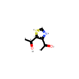 CC(=O)c1n[c]sc1C(C)=O